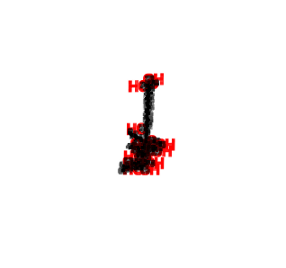 CCCCCC[C@H](CCC[C@H](O)CCCCCCCCCCCCC[C@@H](O)C(=O)O)O[C@H]1OC[C@H](O)[C@@H](O)[C@@H]1O[C@H]1OC[C@H](OC(C)=O)[C@@H](O)[C@@H]1O[C@H]1O[C@@H](COC(=O)CC(C)C)[C@H](O)[C@@H](O)[C@@H]1O